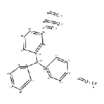 [C]=O.[C]=O.[C]=O.[C]=O.[Fe].c1ccc(P(c2ccccc2)c2ccccc2)cc1